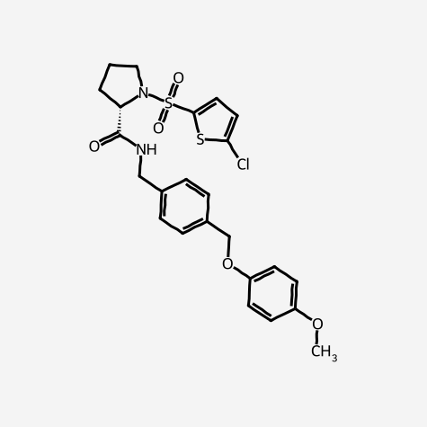 COc1ccc(OCc2ccc(CNC(=O)[C@@H]3CCCN3S(=O)(=O)c3ccc(Cl)s3)cc2)cc1